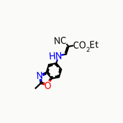 CCOC(=O)C(C#N)=CNc1ccc2oc(C)nc2c1